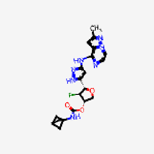 Cc1cc2c(Nc3cc([C@@H]4OC[C@H](OC(=O)NC56CC(C5)C6)[C@H]4F)[nH]n3)nccn2n1